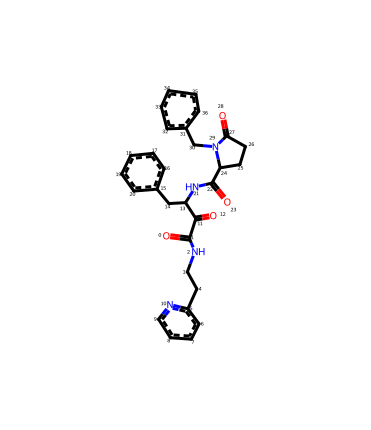 O=C(NCCc1ccccn1)C(=O)C(Cc1ccccc1)NC(=O)C1CCC(=O)N1Cc1ccccc1